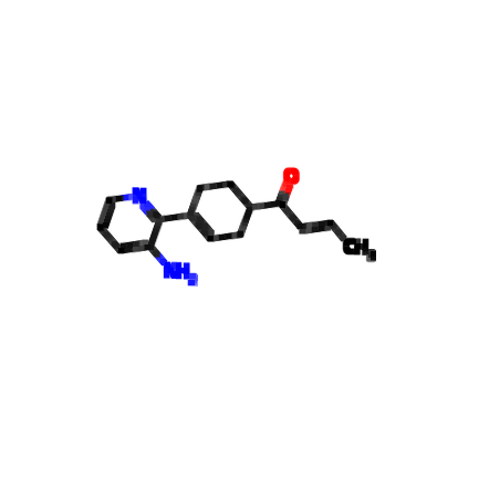 C/C=C/C(=O)C1CC=C(c2ncccc2N)CC1